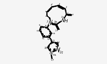 C=C1/C=C\C=C/CN(c2cccc(-c3cnn(C)c3)c2)C(=C)N1